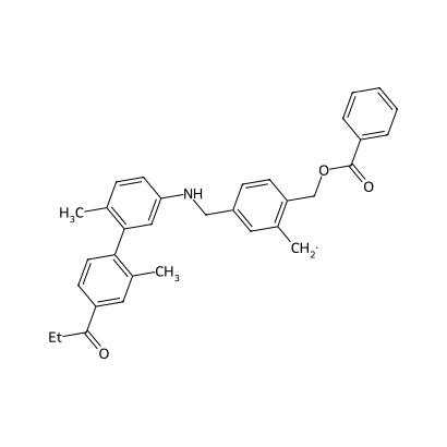 [CH2]c1cc(CNc2ccc(C)c(-c3ccc(C(=O)CC)cc3C)c2)ccc1COC(=O)c1ccccc1